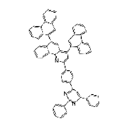 c1ccc(-c2cc(-c3ccc(-c4cc(-c5cc6ccccc6c6ccccc56)c5cc(-c6cc7ccccc7c7ccccc67)c6ccccc6c5n4)cc3)nc(-c3ccccc3)n2)cc1